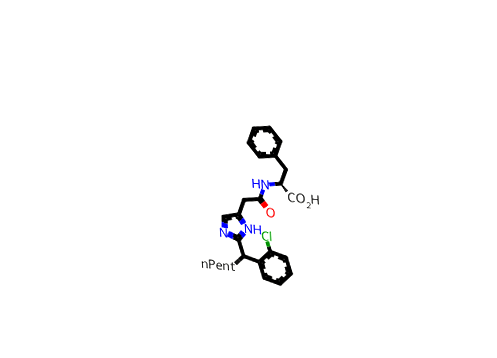 CCCCCC(c1ncc(CC(=O)N[C@@H](Cc2ccccc2)C(=O)O)[nH]1)c1ccccc1Cl